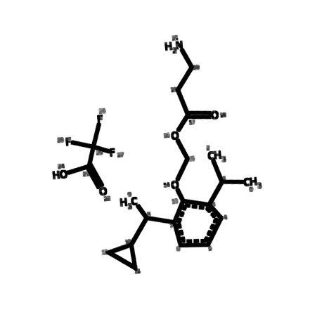 CC(C)c1cccc(C(C)C2CC2)c1OCOC(=O)CCN.O=C(O)C(F)(F)F